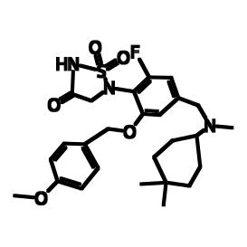 COc1ccc(COc2cc(CN(C)C3CCC(C)(C)CC3)cc(F)c2N2CC(=O)NS2(=O)=O)cc1